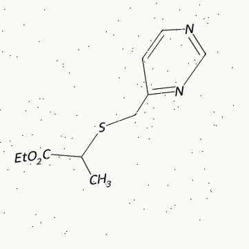 CCOC(=O)C(C)SCc1ccncn1